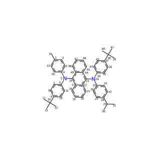 Cc1ccc(N(c2ccc(C(C)(C)C)cc2)c2c3ccccc3c(N(c3ccc(C(C)C)cc3)c3ccc(C(C)(C)C)cc3)c3ccccc23)cc1